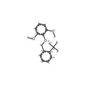 COc1cccc(OC)c1OCc1ccccc1C(C)(C)C